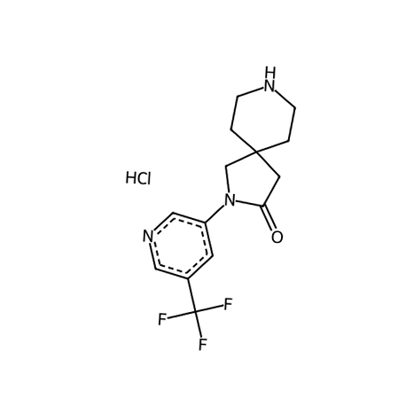 Cl.O=C1CC2(CCNCC2)CN1c1cncc(C(F)(F)F)c1